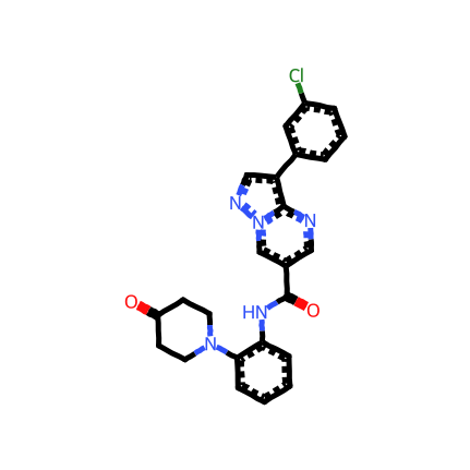 O=C1CCN(c2ccccc2NC(=O)c2cnc3c(-c4cccc(Cl)c4)cnn3c2)CC1